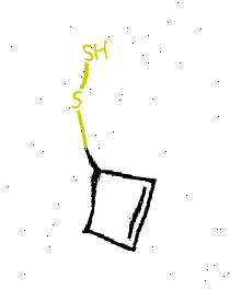 SSC1C=CC1